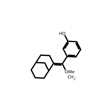 COC(=C1CCC2CCCC1C2)c1cccc(O)c1.[CH2]